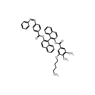 CCCCCOc1cc(C(=O)Oc2ccc3ccccc3c2-c2c(OC(=O)c3ccc(/N=N\c4ccccc4)cc3)ccc3ccccc23)cc(C)c1C